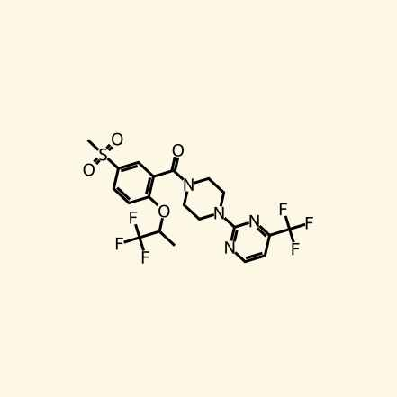 CC(Oc1ccc(S(C)(=O)=O)cc1C(=O)N1CCN(c2nccc(C(F)(F)F)n2)CC1)C(F)(F)F